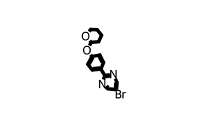 Brc1cnc(-c2ccc(OC3CCCCO3)cc2)nc1